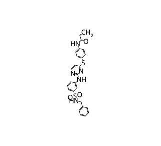 C=CC(=O)Nc1ccc(Sc2ccnc(Nc3cccc(S(=O)(=O)NCc4ccccc4)c3)n2)cc1